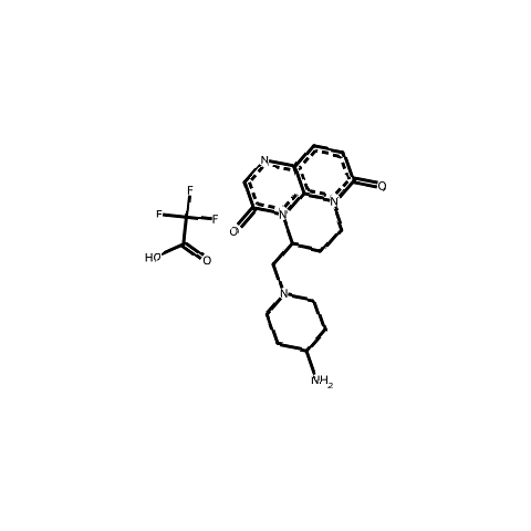 NC1CCN(CC2CCn3c(=O)ccc4ncc(=O)n2c43)CC1.O=C(O)C(F)(F)F